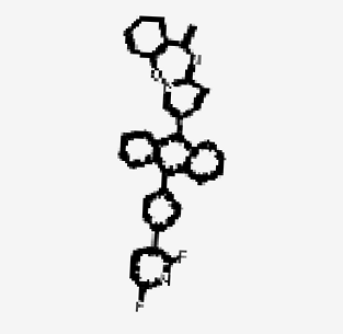 C=C1N=C2C=CC(c3c4ccccc4c(-c4ccc(-c5ccc(F)nc5F)cc4)c4ccccc34)=CN2OC2=C1CCC=C2